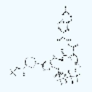 C[C@H](NC(=O)[C@@H]1C[C@@H](F)CN1C(=O)CNC(=O)c1ccc2cc(F)ccc2n1)c1cc(C2CCCN(C(=O)OC(C)(C)C)C2)ccc1OS(=O)(=O)C(F)(F)C(F)(F)C(F)(F)C(F)(F)F